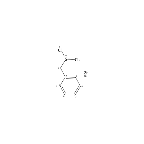 Cl[SH](Cl)Cc1ccccn1.[Zr]